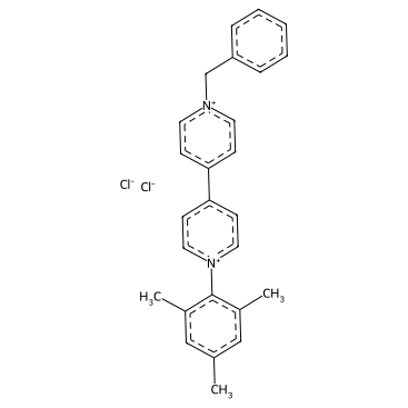 Cc1cc(C)c(-[n+]2ccc(-c3cc[n+](Cc4ccccc4)cc3)cc2)c(C)c1.[Cl-].[Cl-]